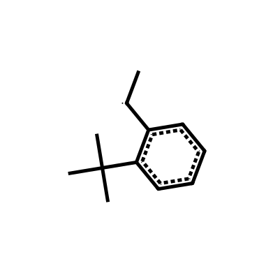 C[CH]c1ccccc1C(C)(C)C